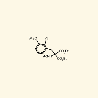 CCOC(=O)C(Cc1cccc(OC)c1Cl)(NC(C)=O)C(=O)OCC